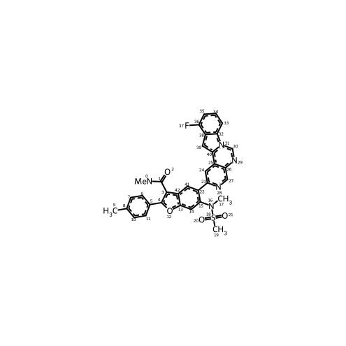 CNC(=O)c1c(-c2ccc(C)cc2)oc2cc(N(C)S(C)(=O)=O)c(-c3cc4c(cn3)ncn3c5cccc(F)c5cc43)cc12